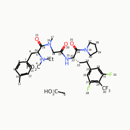 CC(=O)O.CCN(C(=O)O)[C@@H](Cc1ccc(C)cc1)C(=O)N(C)CC(=O)N[C@@H](CCc1cc(F)c(C(F)(F)F)c(F)c1)C(=O)N1CCCC1